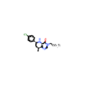 CCOC(=O)Cn1cnc2c(c1=O)N[C@H](c1ccc(Cl)cc1)C[C@@H]2C